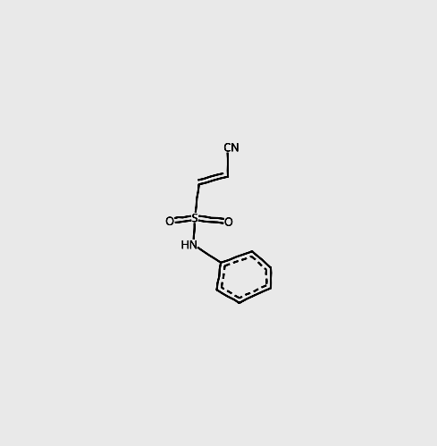 N#CC=CS(=O)(=O)Nc1ccccc1